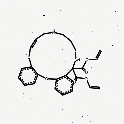 C=COC(=O)C1(C(=O)OC=C)NCCCNC/C=C\Oc2ccccc2Oc2ccccc21